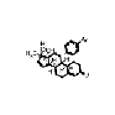 CC(=O)c1ccc([C@H]2C[C@@]3(C)[C@@H](C=C[C@]3(C)O)[C@@H]3CCC4=CC(=O)CC[C@@H]4[C@H]32)cc1